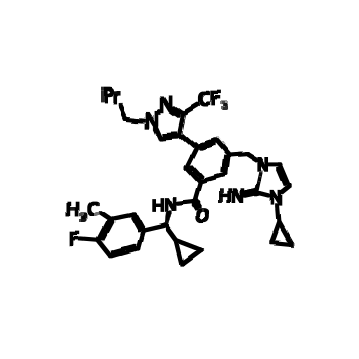 Cc1cc([C@@H](NC(=O)c2cc(Cn3ccn(C4CC4)c3=N)cc(-c3cn(CC(C)C)nc3C(F)(F)F)c2)C2CC2)ccc1F